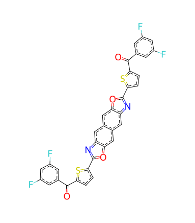 O=C(c1cc(F)cc(F)c1)c1ccc(-c2nc3cc4cc5oc(-c6ccc(C(=O)c7cc(F)cc(F)c7)s6)nc5cc4cc3o2)s1